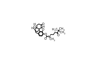 CN(CCCC(=O)C(C)(C)C)C(=O)Oc1ccc2c3c1O[C@H]1C(=O)CC[C@@]4(O)[C@H](CCC[C@]314)C2